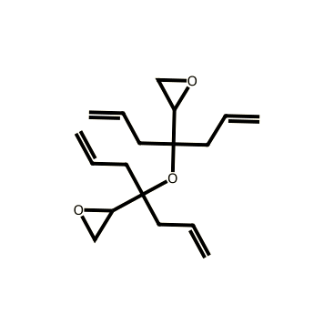 C=CCC(CC=C)(OC(CC=C)(CC=C)C1CO1)C1CO1